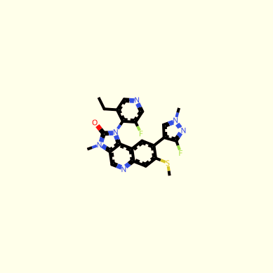 CCc1cncc(F)c1-n1c(=O)n(C)c2cnc3cc(SC)c(-c4cn(C)nc4F)cc3c21